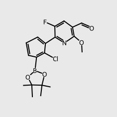 COc1nc(-c2cccc(B3OC(C)(C)C(C)(C)O3)c2Cl)c(F)cc1C=O